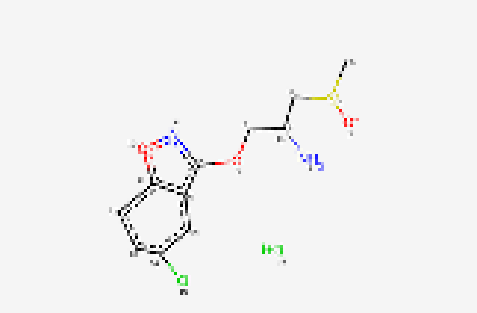 C[S+]([O-])C[C@H](N)COc1noc2ccc(Cl)cc12.Cl